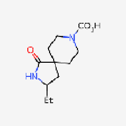 CCC1CC2(CCN(C(=O)O)CC2)C(=O)N1